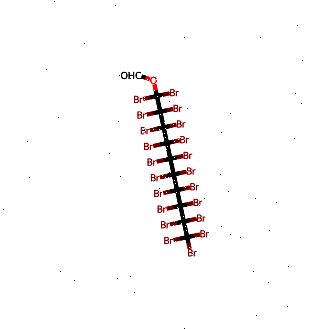 O=[C]OC(Br)(Br)C(Br)(Br)C(Br)(Br)C(Br)(Br)C(Br)(Br)C(Br)(Br)C(Br)(Br)C(Br)(Br)C(Br)(Br)C(Br)(Br)Br